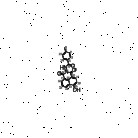 Cc1ccc(C(=O)NN2C(=O)c3cccc4c(O)ccc(c34)C2=O)cc1